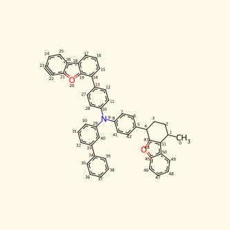 CC1CCC(c2ccc(N(c3ccc(-c4cccc5c4oc4c#cccc45)cc3)c3cccc(-c4ccccc4)c3)cc2)c2oc3ccccc3c21